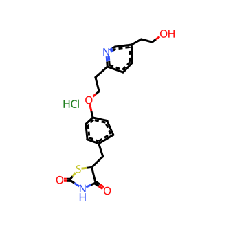 Cl.O=C1NC(=O)C(Cc2ccc(OCCc3ccc(CCO)cn3)cc2)S1